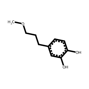 COCCCc1ccc(O)c(O)c1